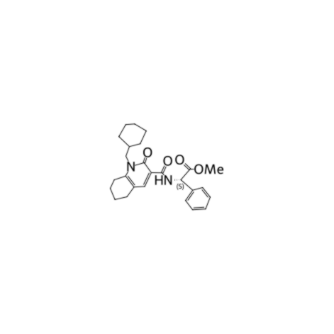 COC(=O)[C@@H](NC(=O)c1cc2c(n(CC3CCCCC3)c1=O)CCCC2)c1ccccc1